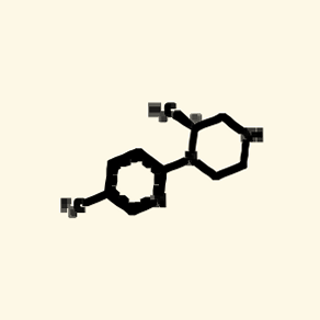 C[C@H]1CNCCN1c1ccc(C(F)(F)F)cn1